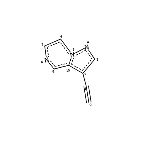 C#Cc1cnn2ccncc12